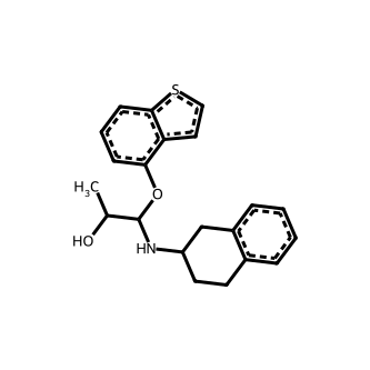 CC(O)C(NC1CCc2ccccc2C1)Oc1cccc2sccc12